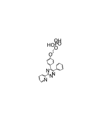 O=P(O)(O)OCCOc1ccc(-c2nc(-c3ccccn3)nnc2-c2ccccc2)cc1